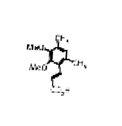 COc1c(C)cc(C)c(C=CC(=O)O)c1OC